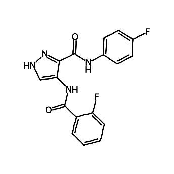 O=C(Nc1c[nH]nc1C(=O)Nc1ccc(F)cc1)c1ccccc1F